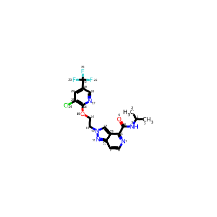 CC(C)NC(=O)c1nccc2nn(CCOc3ncc(C(F)(F)F)cc3Cl)cc12